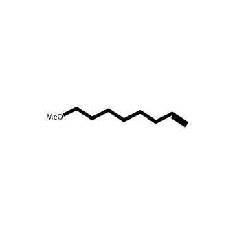 [CH2]OCCCCCCC=C